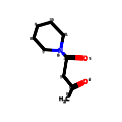 CC(=O)CC(=O)N1CCCCC1